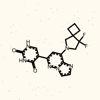 O=c1[nH]cc(-c2cc(N3CC(F)(F)C4(CCC4)C3)c3nccn3n2)c(=O)[nH]1